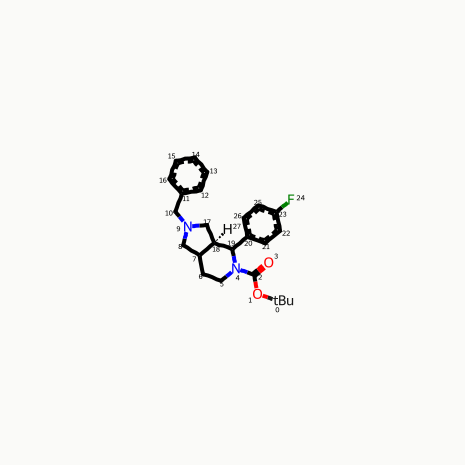 CC(C)(C)OC(=O)N1CCC2CN(Cc3ccccc3)C[C@H]2C1c1ccc(F)cc1